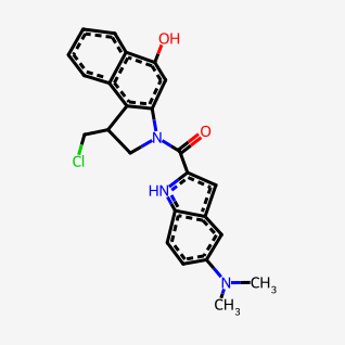 CN(C)c1ccc2[nH]c(C(=O)N3CC(CCl)c4c3cc(O)c3ccccc43)cc2c1